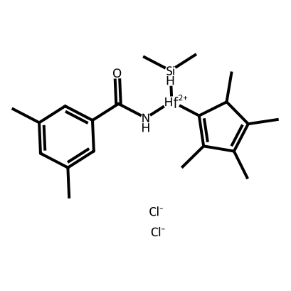 CC1=C(C)C(C)[C]([Hf+2]([NH]C(=O)c2cc(C)cc(C)c2)[SiH](C)C)=C1C.[Cl-].[Cl-]